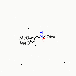 COCC(=O)NCCc1ccc(OC)c(OC)c1